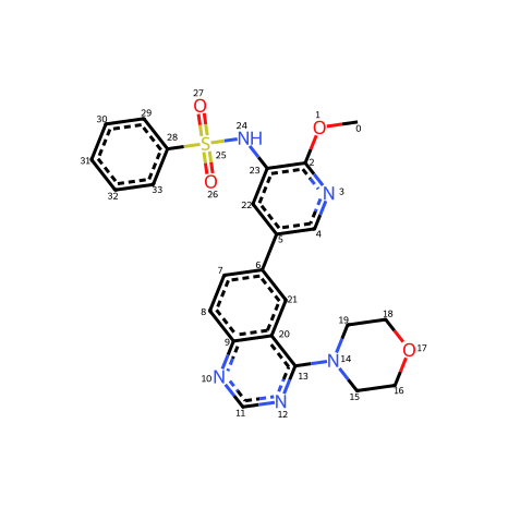 COc1ncc(-c2ccc3ncnc(N4CCOCC4)c3c2)cc1NS(=O)(=O)c1ccccc1